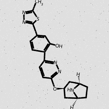 Cc1nnc(-c2ccc(-c3ccc(O[C@H]4C[C@H]5CC[C@@H](C4)N5)nn3)c(O)c2)s1